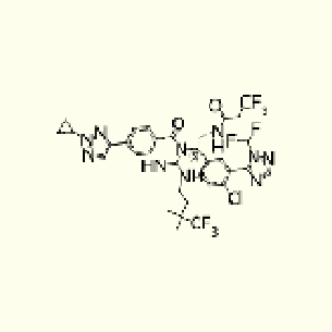 CC(C)(CCNC(=N)N(C(=O)c1ccc(-c2cnn(C3CC3)n2)cc1)[C@H](CNC(=O)CC(F)(F)F)c1ccc(Cl)c(-c2ncnn2C(F)F)c1)C(F)(F)F